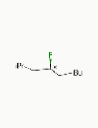 CCC(C)C[C@H](F)CC(C)C